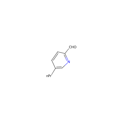 CCCc1ccc(C=O)nc1